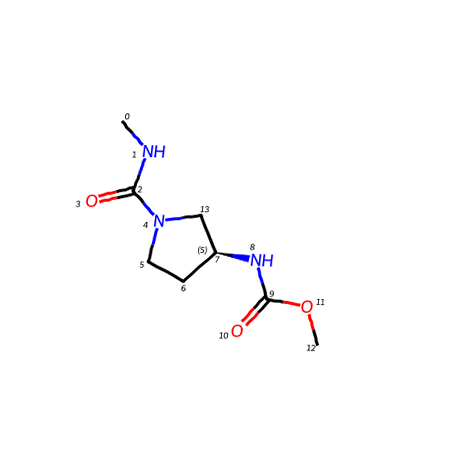 CNC(=O)N1CC[C@H](NC(=O)OC)C1